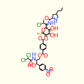 CCCC1CC(C(=O)N[C@H](C(C)Cl)[C@H]2O[C@H](SC)[C@H](OC(=O)c3ccc(C(=O)OCC(NC(=O)C(Cl)Cl)C(O)c4ccc([N+](=O)[O-])cc4)cc3)[C@@H](O)[C@H]2O)N(C)C1